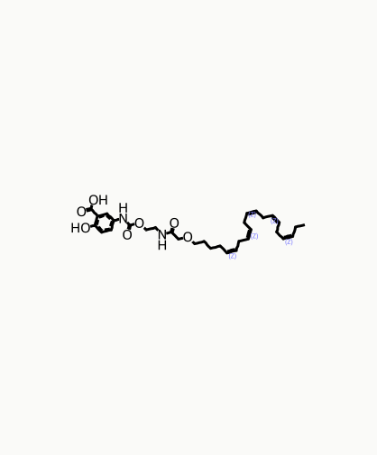 CC/C=C\C/C=C\C/C=C\C/C=C\C/C=C\CCCCOCC(=O)NCCOC(=O)Nc1ccc(O)c(C(=O)O)c1